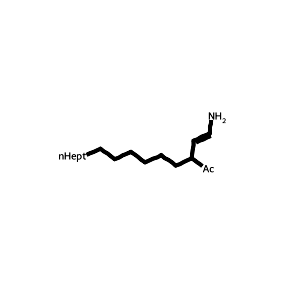 CCCCCCCCCCCCCC(C=CN)C(C)=O